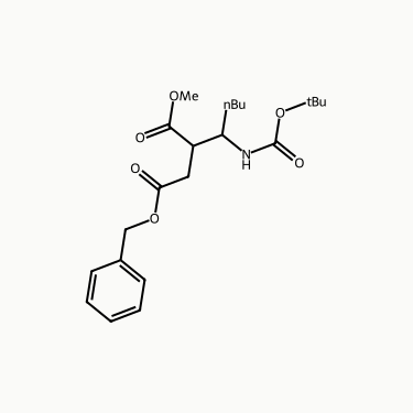 CCCCC(NC(=O)OC(C)(C)C)C(CC(=O)OCc1ccccc1)C(=O)OC